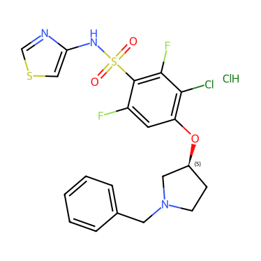 Cl.O=S(=O)(Nc1cscn1)c1c(F)cc(O[C@H]2CCN(Cc3ccccc3)C2)c(Cl)c1F